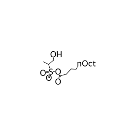 CCCCCCCCCCCC(=O)OS(=O)(=O)C(C)CO